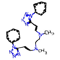 CN(C=Cc1nnnn1-c1ccccc1)CCN(C)C=Cc1nnnn1-c1ccccc1